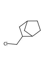 ClCC1CC2CCC1C2